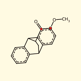 COOC(=O)C1CC2c3ccccc3C1c1ccccc12